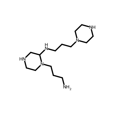 NCCCN1CCNCC1NCCCN1CCNCC1